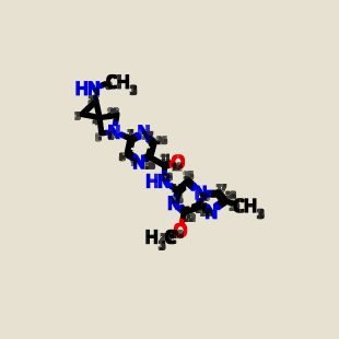 CN[C@H]1CC12CN(c1cnc(C(=O)Nc3cn4cc(C)nc4c(OC)n3)cn1)C2